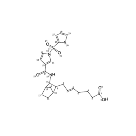 O=C(O)CCCC=CCC1C2CCC(C2)C1NC(=O)c1ccn(S(=O)(=O)c2cccs2)c1